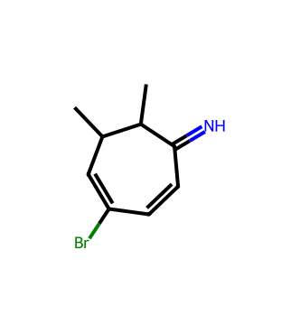 CC1C=C(Br)C=CC(=N)C1C